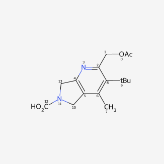 CC(=O)OCc1nc2c(c(C)c1C(C)(C)C)CN(C(=O)O)C2